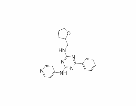 c1ccc(-c2nc(NCC3CCCO3)nc(Nc3ccncc3)n2)cc1